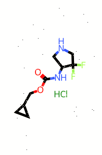 Cl.O=C(NC1CNCC1(F)F)OCC1CC1